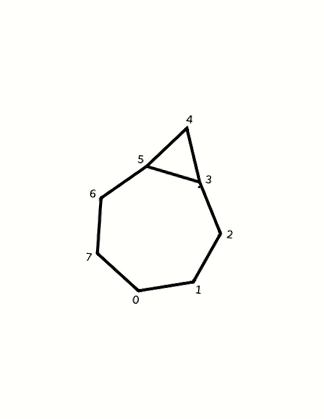 C1CC[C]2CC2CC1